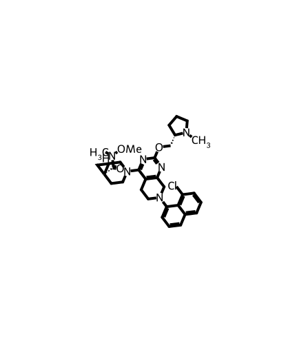 CON(C)C(=O)[C@@]12CCN(c3nc(OC[C@@H]4CCCN4C)nc4c3CCN(c3cccc5cccc(Cl)c35)C4)C[C@@H]1C2